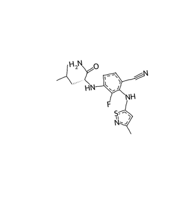 Cc1cc(Nc2c(C#N)ccc(N[C@H](CC(C)C)C(N)=O)c2F)sn1